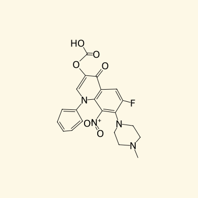 CN1CCN(c2c(F)cc3c(=O)c(OC(=O)O)cn(-c4ccccc4)c3c2[N+](=O)[O-])CC1